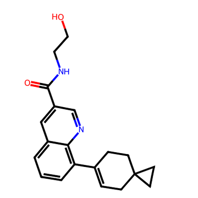 O=C(NCCO)c1cnc2c(C3=CCC4(CC3)CC4)cccc2c1